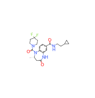 C[C@H]1CC(=O)Nc2cc(C(=O)NCCC3CC3)ccc2N1C(=O)N1CCC(F)(F)CC1